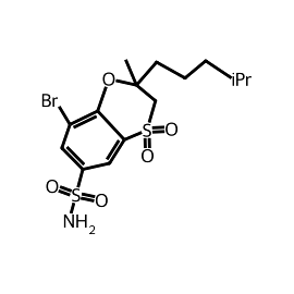 CC(C)CCCC1(C)CS(=O)(=O)c2cc(S(N)(=O)=O)cc(Br)c2O1